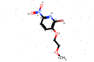 COCCOc1ccc([N+](=O)[O-])nc1Br